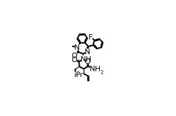 C=CC[C@H](C(N)=O)[C@@H](CC(C)C)C(=O)N[C@H]1N=C(c2ccccc2F)c2ccccc2N(C)C1=O